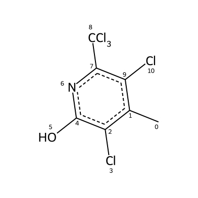 Cc1c(Cl)c(O)nc(C(Cl)(Cl)Cl)c1Cl